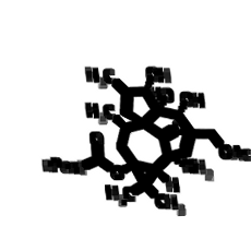 CCCCCC(=O)O[C@@]12C[C@@H](C)[C@]34C=C(C)[C@H](O)[C@@]3(O)[C@H](O)C(COC(C)=O)=C[C@](N)(C4=O)[C@@H]1C2(C)C